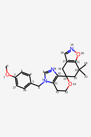 COc1ccc(Cn2cnc3c2CCOC32Cc3cnoc3C(C)(C)C2)cc1